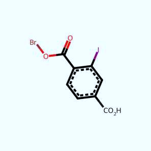 O=C(O)c1ccc(C(=O)OBr)c(I)c1